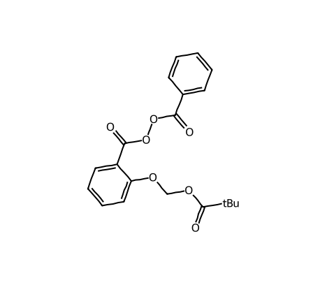 CC(C)(C)C(=O)OCOc1ccccc1C(=O)OOC(=O)c1ccccc1